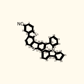 N#Cc1ccc2sc3c(ccc4sc5ccc(-c6ccccc6-n6c7ccccc7c7ccccc76)cc5c43)c2c1